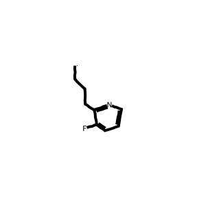 [CH2]CCCc1ncccc1F